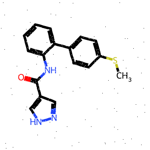 CSc1ccc(-c2ccccc2NC(=O)c2cn[nH]c2)cc1